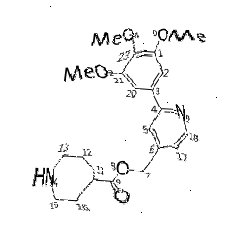 COc1cc(-c2cc(COC(=O)C3CCNCC3)ccn2)cc(OC)c1OC